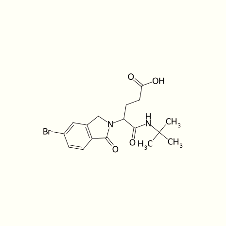 CC(C)(C)NC(=O)C(CCC(=O)O)N1Cc2cc(Br)ccc2C1=O